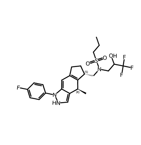 CCCS(=O)(=O)N(CC(O)C(F)(F)F)C[C@H]1CCC2=C1[C@@H](C)C1=CNN(c3ccc(F)cc3)C1=C2